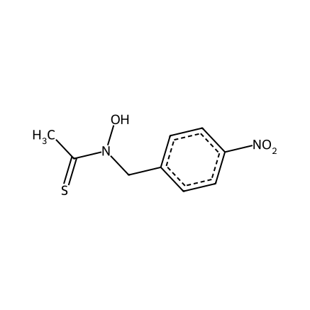 CC(=S)N(O)Cc1ccc([N+](=O)[O-])cc1